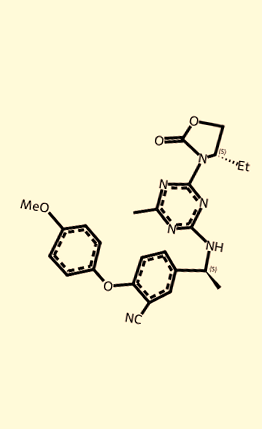 CC[C@H]1COC(=O)N1c1nc(C)nc(N[C@@H](C)c2ccc(Oc3ccc(OC)cc3)c(C#N)c2)n1